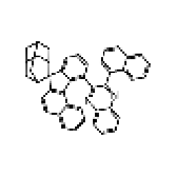 c1cc(-c2nc3ccccc3nc2-c2cccc3ccccc23)c2c(c1)C1(c3ccc4ccccc4c3-2)C2CC3CC(C2)CC1C3